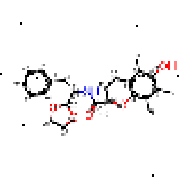 Cc1c(C)c2c(c(C)c1O)CC[C@](C)(C(=O)N[C@@H](Cc1ccccc1)C1OCCO1)O2